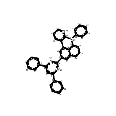 c1ccc(-c2cc(-c3ccccc3)nc(-c3cc4c5c(cccc5c3)N(c3ccccc3)c3ncccc3-4)n2)cc1